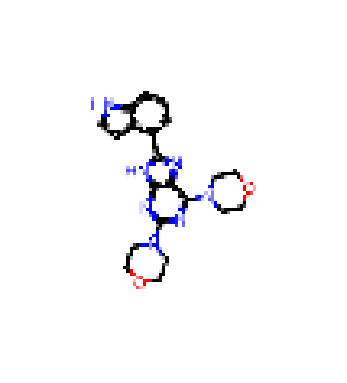 c1cc(-c2nc3c(N4CCOCC4)nc(N4CCOCC4)nc3[nH]2)c2cc[nH]c2c1